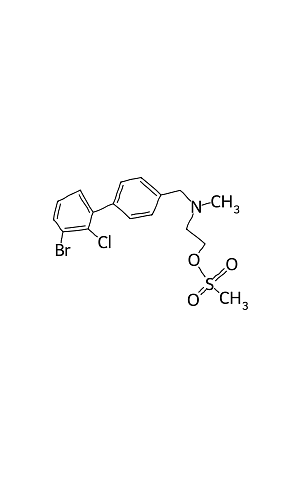 CN(CCOS(C)(=O)=O)Cc1ccc(-c2cccc(Br)c2Cl)cc1